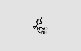 Cc1ccc(C2(N3CCNC(=O)C3)CC2)cc1